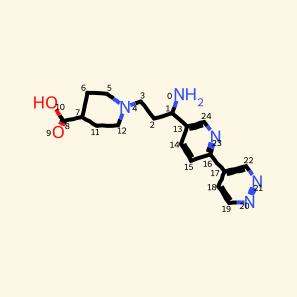 NC(CCN1CCC(C(=O)O)CC1)c1ccc(-c2ccnnc2)nc1